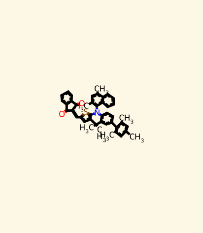 Cc1cc(C)c(-c2ccc3c(c2)C(C)(C)c2cc(C=C4C(=O)c5ccccc5C4=O)sc2N3c2c(C)cc(C)c3ccccc23)c(C)c1